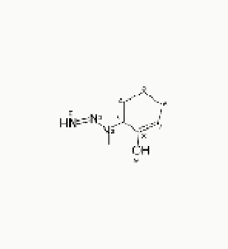 N=NNC1=CCCC=C1O